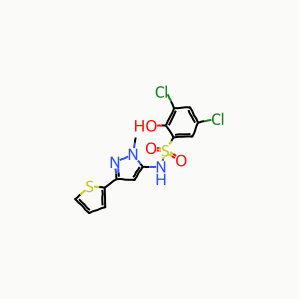 Cn1nc(-c2cccs2)cc1NS(=O)(=O)c1cc(Cl)cc(Cl)c1O